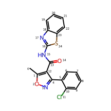 Cc1onc(-c2ccccc2Cl)c1C(=O)Nc1nc2ccccc2s1